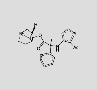 CC(=O)c1sccc1NC(C)(C(=O)O[C@H]1CN2CCC1CC2)c1ccccc1